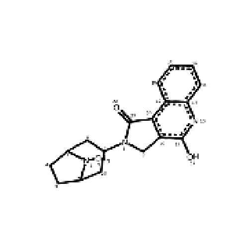 CN1C2CCC1CC(N1Cc3c(O)nc4ccccc4c3C1=O)C2